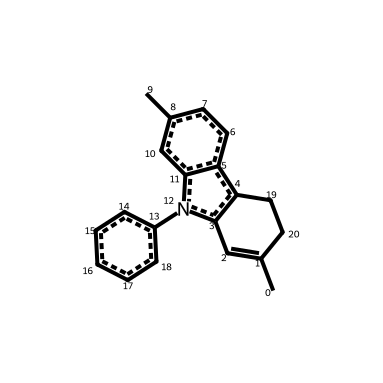 CC1=Cc2c(c3ccc(C)cc3n2-c2ccccc2)CC1